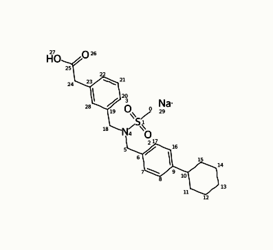 CS(=O)(=O)N(Cc1ccc(C2CCCCC2)cc1)Cc1cccc(CC(=O)O)c1.[Na]